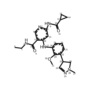 CCNC(=O)c1cnc(NC(=O)C2CC2)cc1Nc1cccc(C2C=NN(C)C2)c1OC